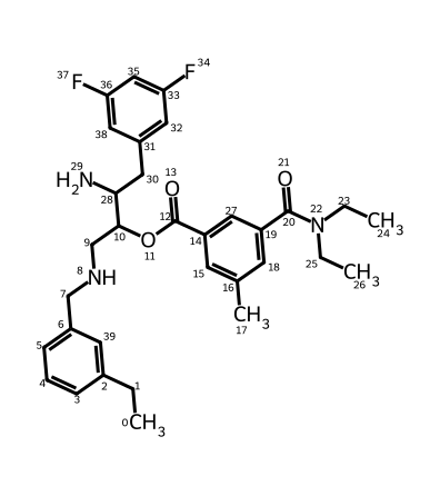 CCc1cccc(CNCC(OC(=O)c2cc(C)cc(C(=O)N(CC)CC)c2)C(N)Cc2cc(F)cc(F)c2)c1